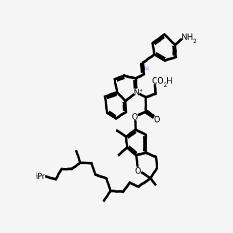 Cc1c(OC(=O)C(CC(=O)O)[n+]2c(/C=C/c3ccc(N)cc3)ccc3ccccc32)cc2c(c1C)OC(C)(CCCC(C)CCCC(C)CCCC(C)C)CC2